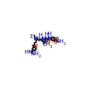 CCN1CC(C=Cc2cc3cc(C(=N)N)ccc3o2)C(CNc2cc(C)nc(NC(=O)Nc3ccc(S(N)(=O)=O)cc3)n2)C1